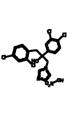 O=[N+]([O-])O.OC(Cc1ccc(Cl)cc1Cl)(Cn1ccnc1)c1ccc(Cl)c(Cl)c1